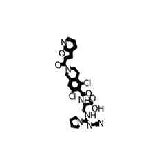 N#C/N=C(\NCC(NC(=O)c1c(Cl)cc2c(c1Cl)CCN(C(=O)c1cc3cccnc3o1)C2)C(=O)O)N1CCCC1